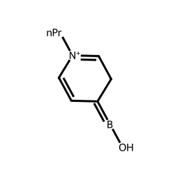 CCC[N+]1=CC/C(=B\O)C=C1